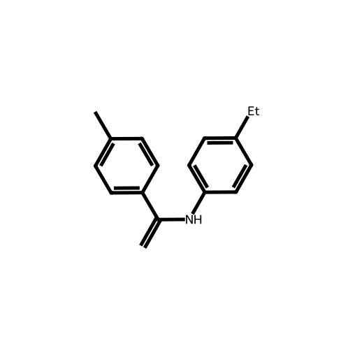 C=C(Nc1ccc(CC)cc1)c1ccc(C)cc1